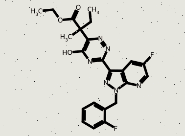 CCOC(=O)C(C)(CC)c1nnc(-c2nn(Cc3ccccc3F)c3ncc(F)cc23)nc1O